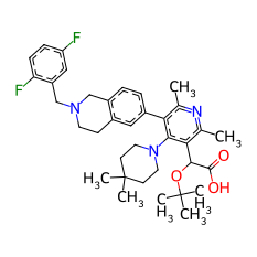 Cc1nc(C)c(C(OC(C)(C)C)C(=O)O)c(N2CCC(C)(C)CC2)c1-c1ccc2c(c1)CCN(Cc1cc(F)ccc1F)C2